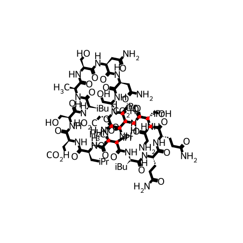 CC[C@H](C)[C@H](NC(=O)[C@H](CO)NC(=O)[C@H](CC(=O)O)NC(=O)[C@H](CC(C)C)NC(=O)[C@H](CC(C)C)NC(=O)[C@H](CC(=O)O)NC(=O)[C@H](CC(N)=O)NC(=O)[C@@H](NC(=O)[C@H](CCC(N)=O)NC(=O)[C@H](CCC(N)=O)NC(=O)[C@@H](NC(=O)[C@@H](NC(=O)[C@H](CC(C)C)NC(=O)[C@H](CO)NC(=O)CN)[C@@H](C)O)[C@@H](C)CC)C(C)C)C(=O)N[C@@H](C)C(=O)N[C@@H](CO)C(=O)N[C@@H](CC(N)=O)C(=O)N[C@@H](CC(N)=O)C(=O)N[C@@H](CO)C(=O)O